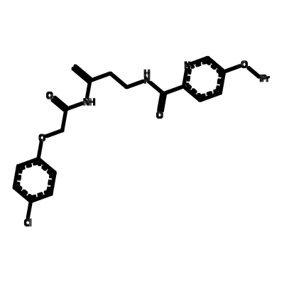 C=C(CCNC(=O)c1ccc(OC(C)C)cn1)NC(=O)COc1ccc(Cl)cc1